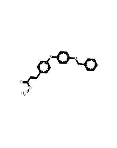 O=C(/C=C/c1ccc(Sc2ccc(OCc3ccccc3)cc2)cc1)OP